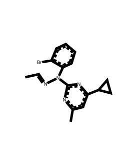 CC=NN(c1nc(C)cc(C2CC2)n1)c1ccccc1Br